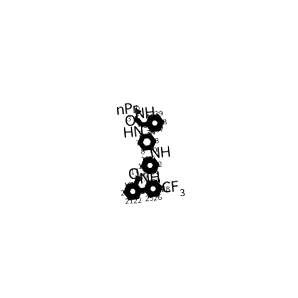 CCCNC(=O)C(NC1CCC(Nc2ccc(NC(=O)c3ccccc3-c3ccc(C(F)(F)F)cc3)cc2)CC1)c1ccccc1